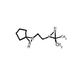 CC1(C)NN1CCN1NC12CCCC2